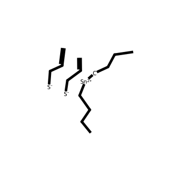 C=CC[S-].C=CC[S-].CCC[CH2][Sn+2][CH2]CCC